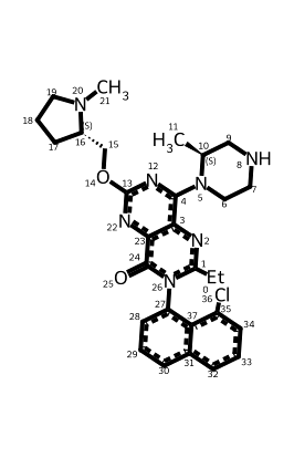 CCc1nc2c(N3CCNC[C@@H]3C)nc(OC[C@@H]3CCCN3C)nc2c(=O)n1-c1cccc2cccc(Cl)c12